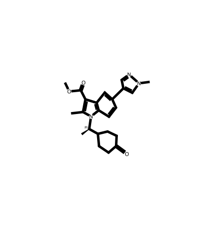 COC(=O)c1c(C)n([C@H](C)C2CCC(=O)CC2)c2ccc(-c3cnn(C)c3)cc12